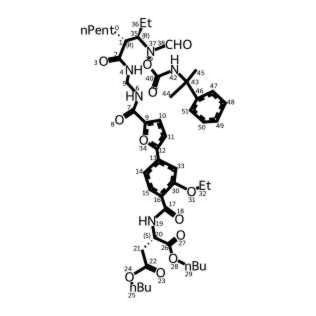 CCCCC[C@@H](C(=O)NCNC(=O)c1ccc(-c2ccc(C(=O)N[C@@H](CC(=O)OCCCC)C(=O)OCCCC)c(OCC)c2)o1)[C@@H](CC)N(C=O)OC(=O)NC(C)(C)c1ccccc1